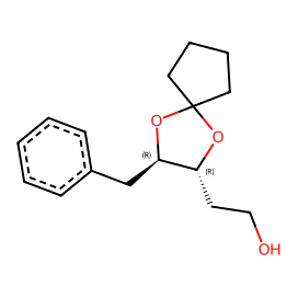 OCC[C@H]1OC2(CCCC2)O[C@@H]1Cc1ccccc1